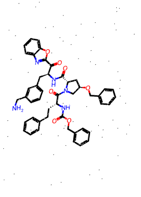 NCc1cccc(C[C@H](NC(=O)[C@@H]2C[C@@H](OCc3ccccc3)CN2C(=O)[C@@H](CCc2ccccc2)NC(=O)OCc2ccccc2)C(=O)c2nc3ccccc3o2)c1